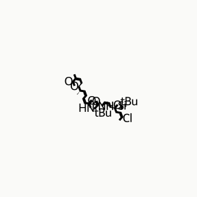 CC1=CC[C@@H]([C@@H](C)/C=C\C=C/C(=O)N[C@H](C(=O)N/C=C\C[C@H](C/C=C(\C)Cl)O[Si](C)(C)C(C)(C)C)C(C)(C)C)OC1=O